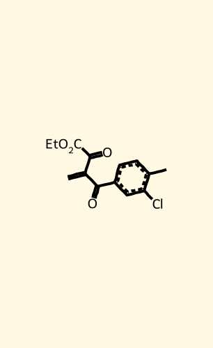 C=C(C(=O)C(=O)OCC)C(=O)c1ccc(C)c(Cl)c1